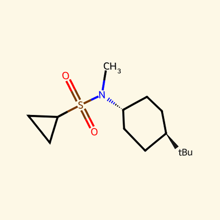 CN([C@H]1CC[C@H](C(C)(C)C)CC1)S(=O)(=O)C1CC1